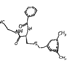 Cc1cc(C)cc(CSC[C@H](NC(=O)c2ccccc2)C(=O)NCC#N)c1